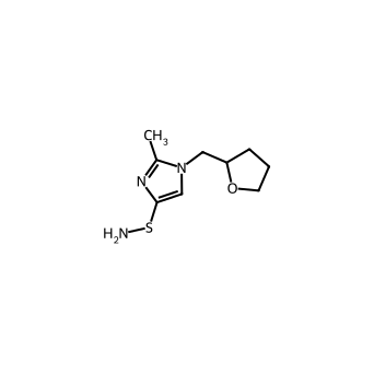 Cc1nc(SN)cn1CC1CCCO1